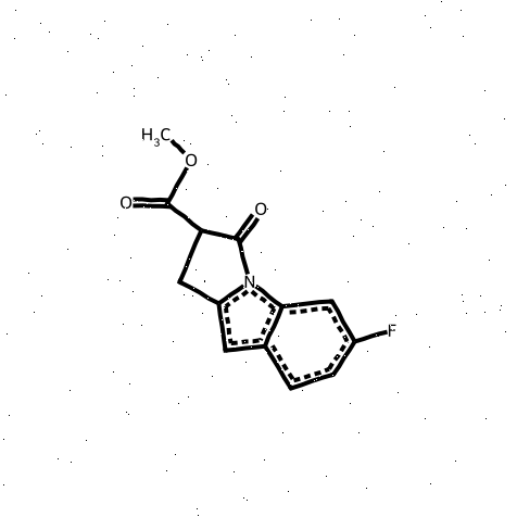 COC(=O)C1Cc2cc3ccc(F)cc3n2C1=O